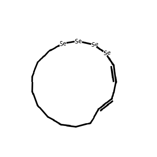 C1=C\[Se][Se][Se][Se]CCCCCCCCC/C=C/1